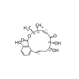 C[C@@H]1OC(=O)c2c(O)cccc2/C=C/C[C@H](O)[C@H](O)C(=O)/C=C\[C@@H]1C